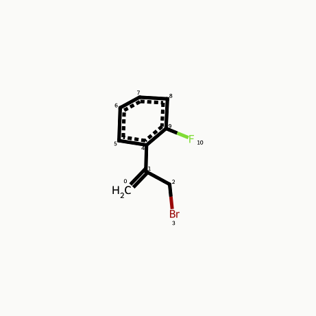 C=C(CBr)c1ccccc1F